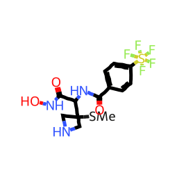 CSC1(C(NC(=O)c2ccc(S(F)(F)(F)(F)F)cc2)C(=O)NO)CNC1